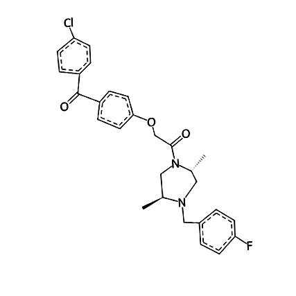 C[C@@H]1CN(Cc2ccc(F)cc2)[C@@H](C)CN1C(=O)COc1ccc(C(=O)c2ccc(Cl)cc2)cc1